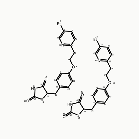 CCc1ccc(CCOc2ccc(CC3SC(=O)NC3=O)cc2)nc1.CCc1ccc(CCOc2ccc(CC3SC(=O)NC3=O)cc2)nc1